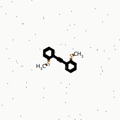 CSc1ccccc1C#Cc1ccccc1SC